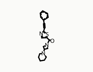 O=C(c1cnc(C#Cc2ccccc2)s1)N1CC(N2CCCCC2)C1